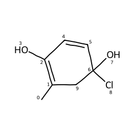 CC1=C(O)C=CC(O)(Cl)C1